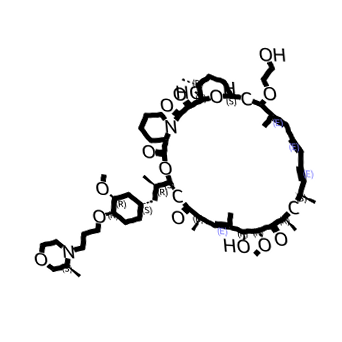 CO[C@@H]1C[C@H](C[C@@H](C)[C@@H]2CC(=O)[C@H](C)/C=C(\C)[C@@H](O)[C@@H](OC)C(=O)[C@H](C)C[C@H](C)/C=C/C=C/C=C(\C)C(OCCO)C[C@@H]3CC[C@@H](C)[C@@](O)(O3)C(=O)C(=O)N3CCCCC3C(=O)O2)CC[C@H]1OCCCN1CCOC[C@@H]1C